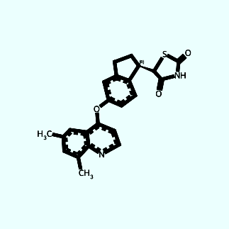 Cc1cc(C)c2nccc(Oc3ccc4c(c3)CC[C@H]4C3SC(=O)NC3=O)c2c1